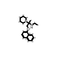 CCNC(C)(COc1cccc2ccccc12)N1CCCCC1